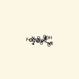 CN(C)C(=O)/C=C/CC[C@@H](CN(C)C(=O)O)C(=O)Nc1cccn(Cc2nc3cc(F)ccc3n2CC2CC2)c1=O